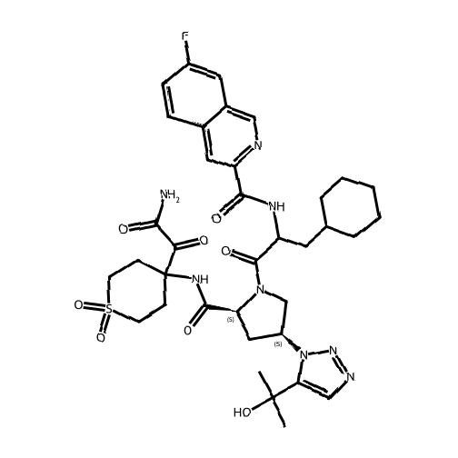 CC(C)(O)c1cnnn1[C@H]1C[C@@H](C(=O)NC2(C(=O)C(N)=O)CCS(=O)(=O)CC2)N(C(=O)C(CC2CCCCC2)NC(=O)c2cc3ccc(F)cc3cn2)C1